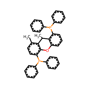 Cc1ccc(P(c2ccccc2)c2ccccc2)c2c1C(C)c1c(cccc1P(c1ccccc1)c1ccccc1)O2